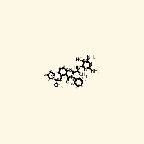 CC(Nc1nc(N)nc(N)c1C#N)c1nc2cccc(C[C@H](C)N3CCCC3)c2c(=O)n1-c1ccccc1